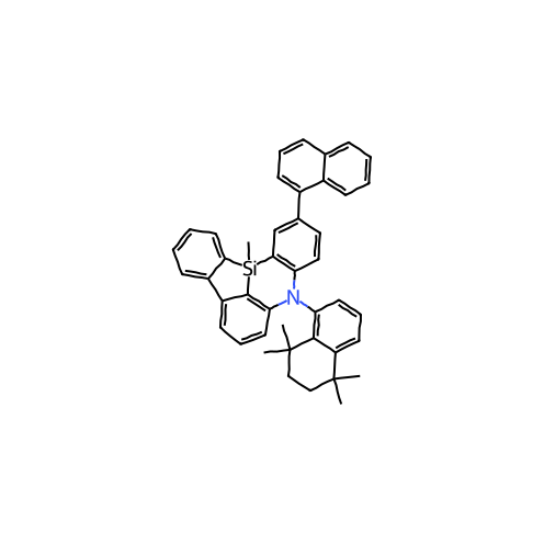 CC1(C)CCC(C)(C)c2c(N3c4ccc(-c5cccc6ccccc56)cc4[Si]4(C)c5ccccc5-c5cccc3c54)cccc21